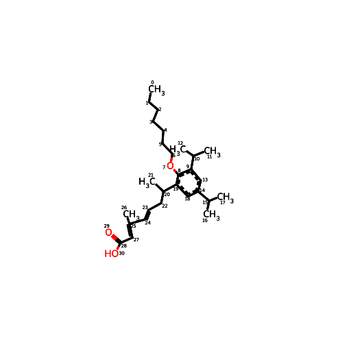 CCCCCCCOc1c(C(C)C)cc(C(C)C)cc1C(C)C/C=C/C(C)=C/C(=O)O